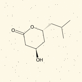 CC(C)C[C@@H]1C[C@@H](O)CC(=O)O1